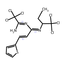 CCC(/N=C(/C=C/c1cccs1)\N=C(/N)C(Cl)(Cl)Cl)C(Cl)(Cl)Cl